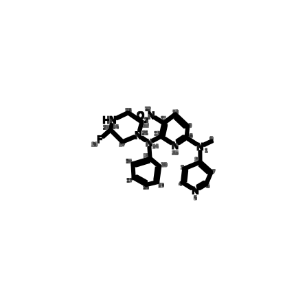 CN(c1ccncc1)c1ccc([N+](=O)[O-])c(N(c2ccccc2)N2CCNC(F)C2)n1